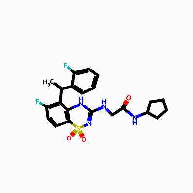 CC(c1ccccc1F)c1c(F)ccc2c1NC(NCC(=O)NC1CCCC1)=NS2(=O)=O